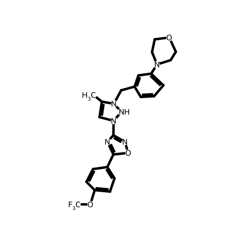 CC1=CN(c2noc(-c3ccc(OC(F)(F)F)cc3)n2)NN1Cc1cccc(N2CCOCC2)c1